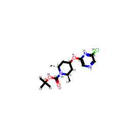 C[C@@H]1CC(Oc2cncc(Cl)n2)C[C@@H](C)N1C(=O)OC(C)(C)C